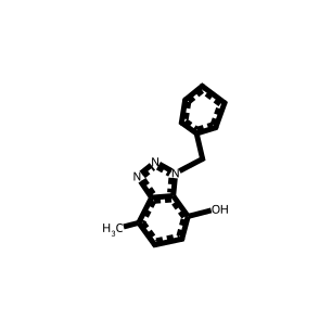 Cc1ccc(O)c2c1nnn2Cc1ccccc1